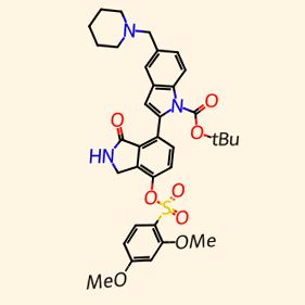 COc1ccc(S(=O)(=O)Oc2ccc(-c3cc4cc(CN5CCCCC5)ccc4n3C(=O)OC(C)(C)C)c3c2CNC3=O)c(OC)c1